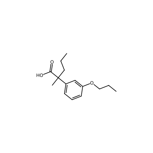 CCCOc1cccc(C(C)(CCC)C(=O)O)c1